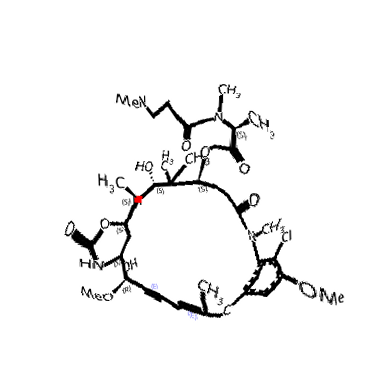 CNCCC(=O)N(C)[C@@H](C)C(=O)O[C@H]1CC(=O)N(C)c2cc(cc(OC)c2Cl)C/C(C)=C/C=C/[C@@H](OC)[C@@]2(O)C[C@H](OC(=O)N2)[C@@H](C)[C@H](O)C1(C)C